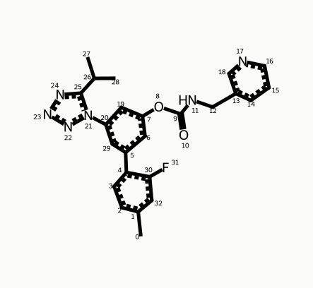 Cc1ccc(-c2cc(OC(=O)NCc3cccnc3)cc(-n3nnnc3C(C)C)c2)c(F)c1